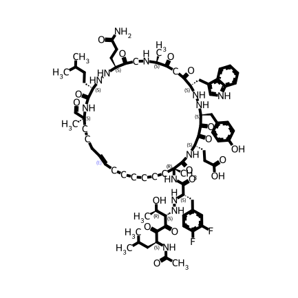 CC(=O)N[C@@H](CC(C)C)C(=O)C(=O)[C@@H](NN[C@@H](Cc1ccc(F)c(F)c1)C(=O)N[C@]1(C)CCCCCC/C=C/CCC[C@@](C)(C=O)NC(=O)[C@H](CCC(C)C)NN[C@@H](CCC(N)=O)C(=O)CN[C@@H](C)C(=O)CC(=O)[C@H](Cc2c[nH]c3ccccc23)NN[C@@H](Cc2ccc(O)cc2)C(=O)C(=O)[C@H](CCC(=O)O)NC1=O)[C@@H](C)O